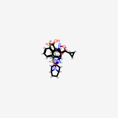 O=C(O)c1ccc2nc(N3C4CCC3CC(NCc3c(-c5c(F)cccc5F)noc3C3CC3)C4)sc2c1